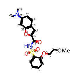 COCCOc1ccccc1S(=O)(=O)NC(=O)c1cc2ccc(N(C)C)cc2o1